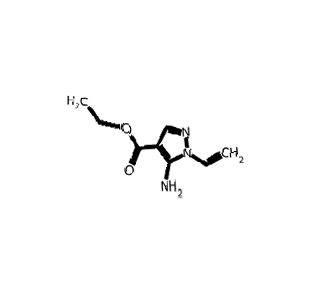 C=Cn1ncc(C(=O)OCC)c1N